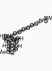 CNC(=O)CCOCCOCCOCCOCCOCCOCCOCCC(=O)NC1CC(O[C@H]2C[C@](O)(C(=O)CO)Cc3c(O)c4c(c(O)c32)C(=O)c2c(OC)cccc2C4=O)OC(C)C1O